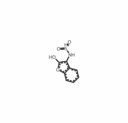 O=[SH](=O)Nc1c(O)oc2ccccc12